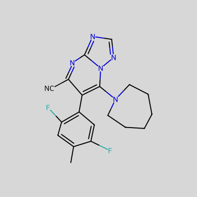 Cc1cc(F)c(-c2c(C#N)nc3ncnn3c2N2CCCCCC2)cc1F